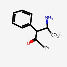 CC(C)C(=O)C(c1ccccc1)C(N)C(=O)O